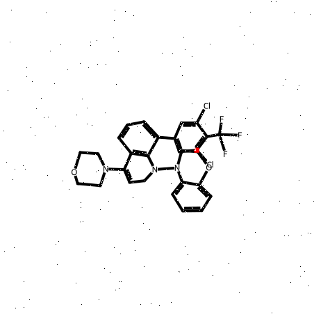 FC(F)(F)c1c(Cl)cc(-c2cccc3c2N(N2CCOc4ccccc42)CC=C3N2CCOCC2)cc1Cl